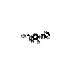 CC(C)(C)Cn1nnc2c(Br)c(NCc3cnccn3)ccc21